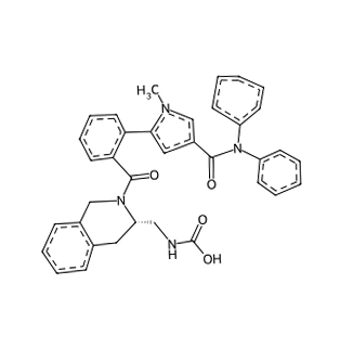 Cn1cc(C(=O)N(c2ccccc2)c2ccccc2)cc1-c1ccccc1C(=O)N1Cc2ccccc2C[C@H]1CNC(=O)O